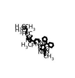 CCc1noc(C(C(=O)Nc2ccc(-c3c(C)nn(COCC[Si](C)(C)C)c3CC)c(F)n2)C(C2CCCCC2)C2CCCCC2)c1C(N)=O